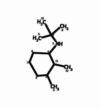 CC1CCCC(NC(C)(C)C)C1C